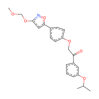 COCOc1cc(-c2ccc(OCC(=O)c3cccc(OC(C)C)c3)cc2)on1